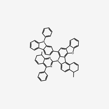 CC1CC=Cc2c1ccc1c2c2c3oc4ccccc4c3cc(-c3ccc4c5ccccc5n(-c5ccccc5)c4c3)c2n1-c1nc(-c2ccccc2)c2c(n1)C(C)CC=C2